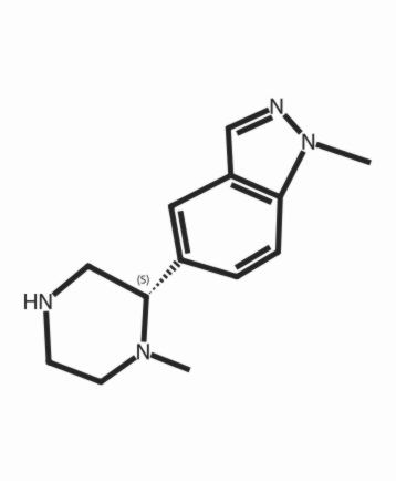 CN1CCNC[C@@H]1c1ccc2c(cnn2C)c1